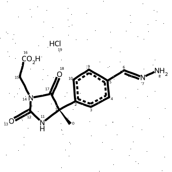 C[C@@]1(c2ccc(C=NN)cc2)NC(=O)N(CC(=O)O)C1=O.Cl